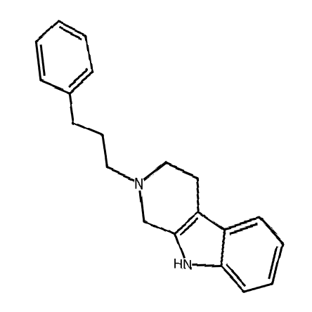 c1ccc(CCCN2CCc3c([nH]c4ccccc34)C2)cc1